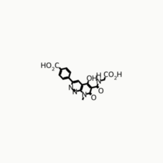 Cn1c(=O)c(C(=O)NCC(=O)O)c(O)c2cc(-c3ccc(C(=O)O)cc3)nnc21